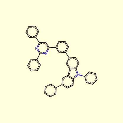 c1ccc(-c2ccc3c(c2)c2cc(-c4cccc(-c5cc(-c6ccccc6)nc(-c6ccccc6)n5)c4)ccc2n3-c2ccccc2)cc1